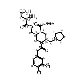 COC(=O)N1C[C@@H](CN2CCCC2)N(C(=O)Cc2ccc(Cl)c(Cl)c2)C[C@H]1COC(=O)[C@H](N)CC(=O)O